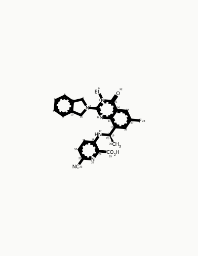 CCn1c(N2Cc3ccccc3C2)nc2c([C@@H](C)Nc3ccc(C#N)nc3C(=O)O)cc(F)cc2c1=O